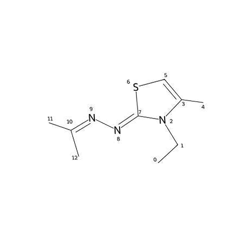 CCn1c(C)csc1=NN=C(C)C